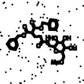 COCC1OC(CNC(=O)CCC(C(=O)OCc2ccccc2)C(=O)OCc2ccccc2)C(O)C(O)C1O